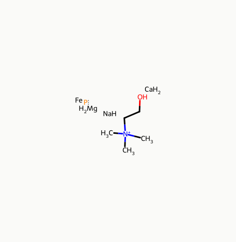 C[N+](C)(C)CCO.[CaH2].[Fe].[MgH2].[NaH].[P]